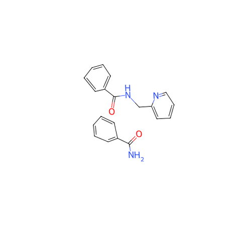 NC(=O)c1ccccc1.O=C(NCc1ccccn1)c1ccccc1